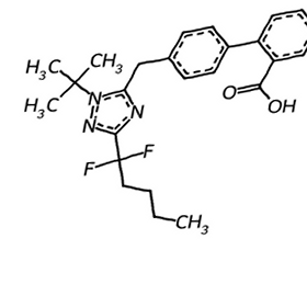 CCCCC(F)(F)c1nc(Cc2ccc(-c3ccccc3C(=O)O)cc2)n(C(C)(C)C)n1